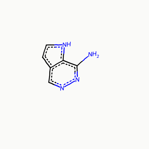 Nc1nncc2cc[nH]c12